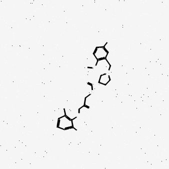 COc1ccc(Cl)cc1CN1CC[C@H](C(=O)NCC(=O)COc2c(C)cccc2C)C1